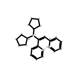 C(=C(c1ccccn1)P(C1CCCC1)C1CCCC1)c1ccccn1